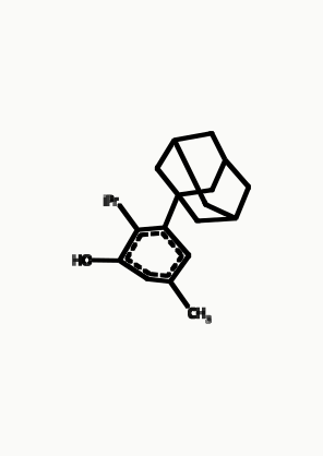 Cc1cc(O)c(C(C)C)c(C23CC4CC(CC(C4)C2)C3)c1